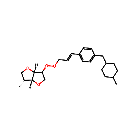 CC1CCC(Cc2ccc(/C=C/COO[C@H]3CO[C@H]4[C@@H]3OC[C@H]4C)cc2)CC1